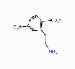 NCCc1cc([N+](=O)[O-])ccc1C(=O)O